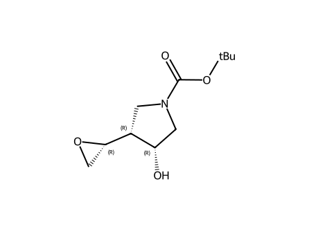 CC(C)(C)OC(=O)N1C[C@@H]([C@@H]2CO2)[C@@H](O)C1